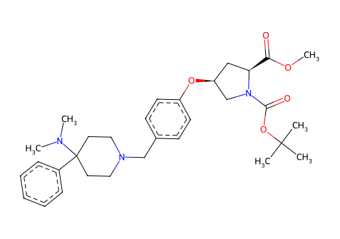 COC(=O)[C@@H]1C[C@H](Oc2ccc(CN3CCC(c4ccccc4)(N(C)C)CC3)cc2)CN1C(=O)OC(C)(C)C